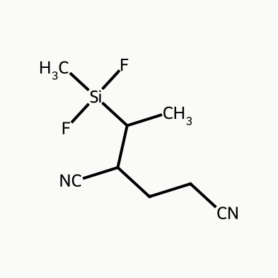 CC(C(C#N)CCC#N)[Si](C)(F)F